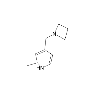 CC1C=C(CN2CCC2)C=CN1